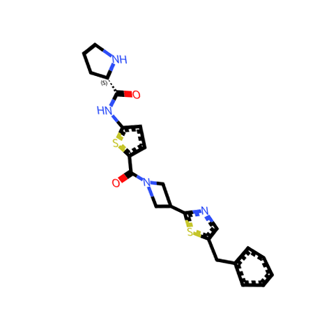 O=C(Nc1ccc(C(=O)N2CC(c3ncc(Cc4ccccc4)s3)C2)s1)[C@@H]1CCCN1